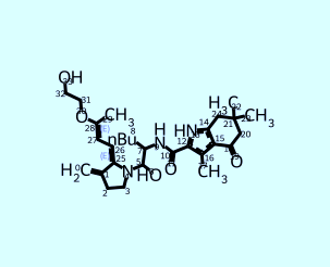 C=C1CCN(C(O)C(CCCC)NC(=O)c2[nH]c3c(c2C)C(=O)CC(C)(C)C3)/C1=C/C=C(\C)OCCO